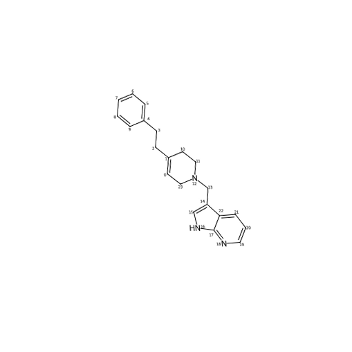 C1=C(CCc2ccccc2)CCN(Cc2c[nH]c3ncccc23)C1